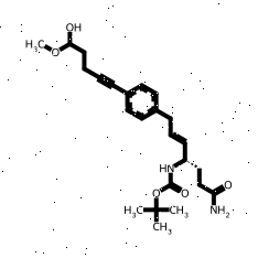 COC(O)CCC#Cc1ccc(C/C=C/[C@H](CCC(N)=O)NC(=O)OC(C)(C)C)cc1